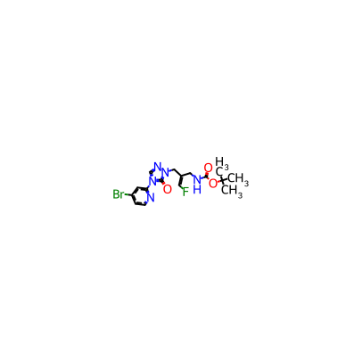 CC(C)(C)OC(=O)NCC(=CF)Cn1ncn(-c2cc(Br)ccn2)c1=O